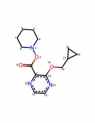 O=C(ON1CCCCC1)c1nccnc1OCC1CC1